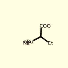 CCCCC(CC)C(=O)[O-].[Na+]